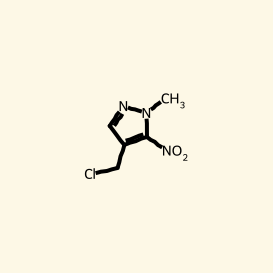 Cn1ncc(CCl)c1[N+](=O)[O-]